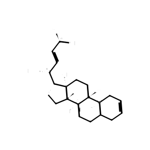 CC(C)[C@@H](C)C=C[C@@H](C)[C@H]1CC[C@H]2[C@@H]3CCC4CC=CC[C@]4(C)[C@H]3CC[C@]12C